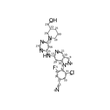 N#Cc1cc(F)c(-n2ncc3cnc(Nc4cc(N5CCCC(CO)C5)ncn4)cc32)c(Cl)c1